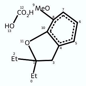 CCC1(CC)Cc2cccc(OC)c2O1.O=C(O)O